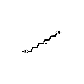 OCCCCPCCCCO